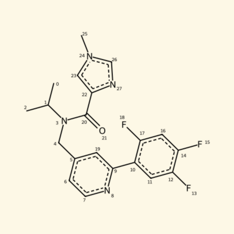 CC(C)N(Cc1ccnc(-c2cc(F)c(F)cc2F)c1)C(=O)c1cn(C)cn1